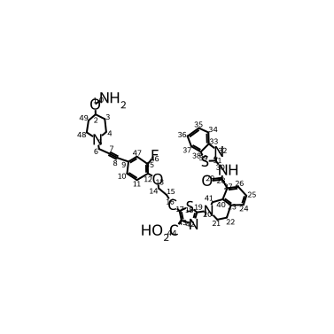 NOC1CCN(CC#Cc2ccc(OCCCc3sc(N4CCc5cccc(C(=O)Nc6nc7ccccc7s6)c5C4)nc3C(=O)O)c(F)c2)CC1